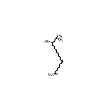 CCCCCCCCCC(CCCCCCCCC/C=C\CCCCCC(=O)OC)CCN(C)C